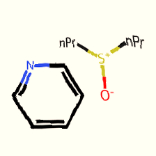 CCC[S+]([O-])CCC.c1ccncc1